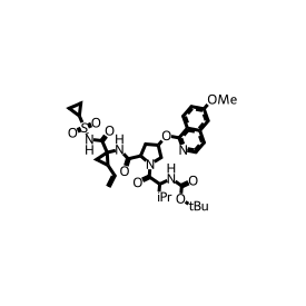 C=CC1CC1(NC(=O)C1CC(Oc2nccc3cc(OC)ccc23)CN1C(=O)C(NC(=O)OC(C)(C)C)C(C)C)C(=O)NS(=O)(=O)C1CC1